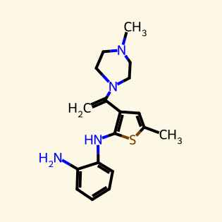 C=C(c1cc(C)sc1Nc1ccccc1N)N1CCN(C)CC1